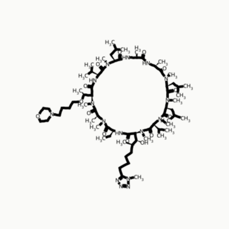 CC[C@@H]1NC(=O)[C@H]([C@H](O)[C@H](C)CCCCc2nnnn2C)N(C)C(=O)[C@H](C(C)C)N(C)C(=O)[C@H](CC(C)C)N(C)C(=O)[C@H](CC(C)C)N(C)C(=O)[C@@H](C)NC(=O)[C@H](C)NC(=O)[C@H](CC(C)C)N(C)C(=O)[C@H](C(C)C)NC(=O)[C@H]([C@@H](C)OCCCCN2CCOCC2)N(C)C(=O)[C@@H](C)N(C)C1=O